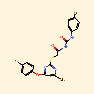 CCc1ccc(NC(=O)NC(=O)CSc2nc(Oc3ccc(CC)cc3)cc(C(F)(F)F)n2)cc1